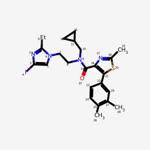 CCc1nc(I)cn1CCN(CC1CC1)C(=O)c1nc(C)sc1-c1ccc(C)c(C)c1